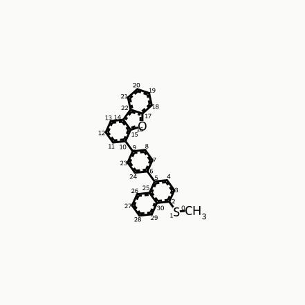 CSc1ccc(-c2ccc(-c3cccc4c3oc3ccccc34)cc2)c2ccccc12